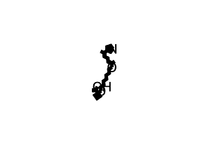 C=C(O)C1(OCCCCCCCO/C(C)=C/C/C=C(/C)C2=CC=NC2)CCC1